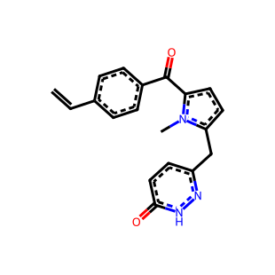 C=Cc1ccc(C(=O)c2ccc(Cc3ccc(=O)[nH]n3)n2C)cc1